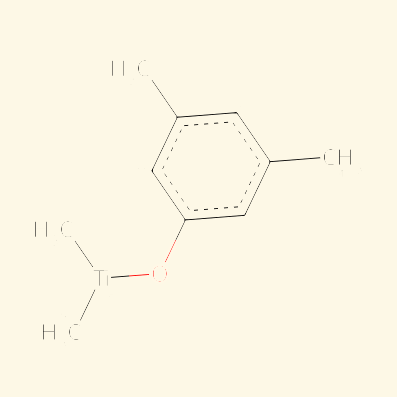 Cc1cc(C)cc([O][Ti]([CH3])[CH3])c1